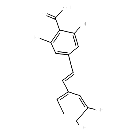 C/C=C(/C=C/c1cc(O)c(C(=O)O)c(O)c1)\C=C(\O)CO